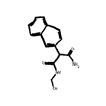 N#CCNC(=O)C(C(N)=O)c1ccc2ccccc2c1